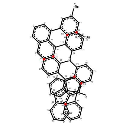 CC(C)(C)c1cc(-c2cccc3cccc(-c4ccccc4N(c4ccccc4-c4cccc5c4sc4ccccc45)c4cccc5c4-c4ccccc4C5(C)c4ccccc4)c23)cc(C(C)(C)C)c1